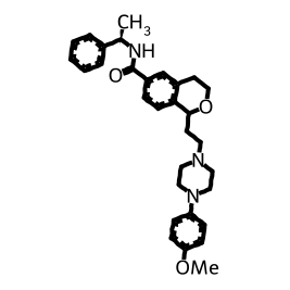 COc1ccc(N2CCN(CCC3OCCc4cc(C(=O)N[C@H](C)c5ccccc5)ccc43)CC2)cc1